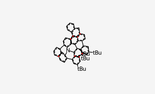 CC(C)(C)c1cc(-c2ccccc2N(c2cc(-c3cccc4ccccc34)ccc2-c2ccccc2)c2ccccc2-c2cccc3cccc(-c4cc(C(C)(C)C)cc(C(C)(C)C)c4)c23)cc(C(C)(C)C)c1